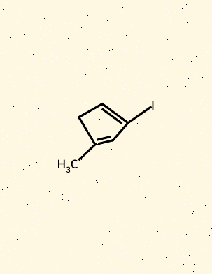 CC1=CC(I)=CC1